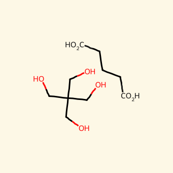 O=C(O)CCCC(=O)O.OCC(CO)(CO)CO